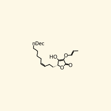 C/C=C/OC1=C(O)[C@@H](CC/C=C\CCCCCCCCCCCCCC)OC1=O